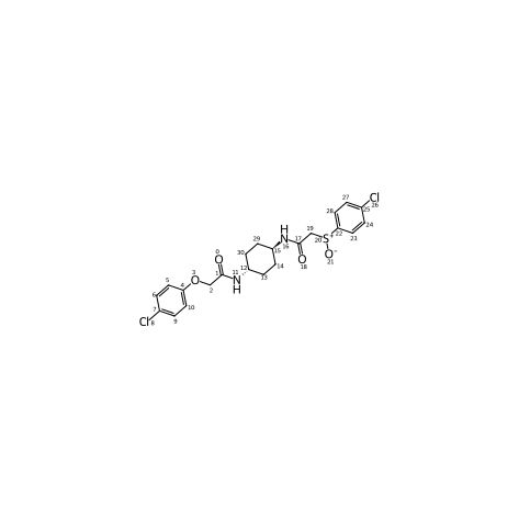 O=C(COc1ccc(Cl)cc1)N[C@H]1CC[C@H](NC(=O)C[S+]([O-])c2ccc(Cl)cc2)CC1